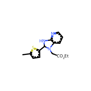 CCOC(=O)CN1c2cccnc2NC1c1ccc(C)s1